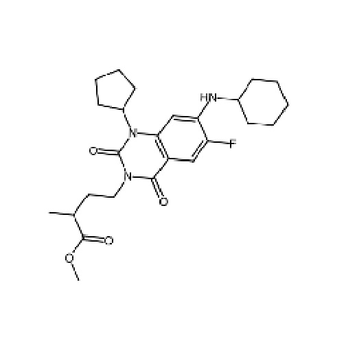 COC(=O)C(C)CCn1c(=O)c2cc(F)c(NC3CCCCC3)cc2n(C2CCCC2)c1=O